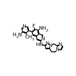 Cc1c(N)cncc1-c1cc2cc(Nc3cc4n(n3)Cc3nccn3CC4)ncc2c(N)c1F